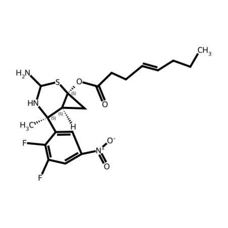 CCCC=CCCC(=O)O[C@]12C[C@H]1[C@@](C)(c1cc([N+](=O)[O-])cc(F)c1F)NC(N)S2